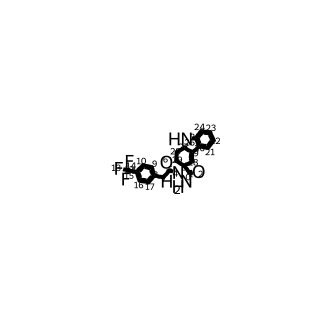 NC(=O)C1(NC(=O)Cc2ccc(C(F)(F)F)cc2)C=C2c3ccccc3NC2CC1